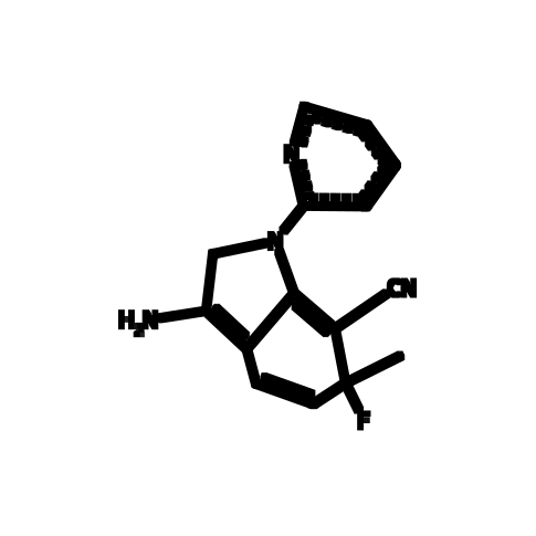 CC1(F)C=CC2=C(N)CN(c3ccccn3)C2=C1C#N